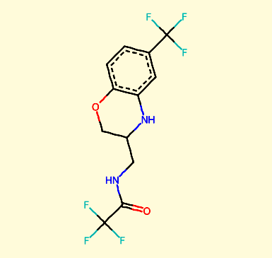 O=C(NCC1COc2ccc(C(F)(F)F)cc2N1)C(F)(F)F